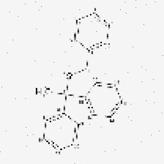 CC(SCc1ccccc1)(c1ccccc1)c1ccccc1